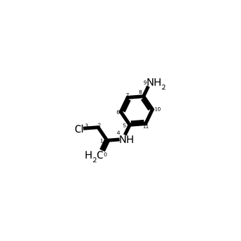 C=C(CCl)Nc1ccc(N)cc1